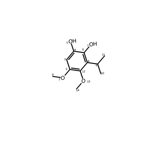 COc1cc(O)c(O)c(C(C)C)c1OC